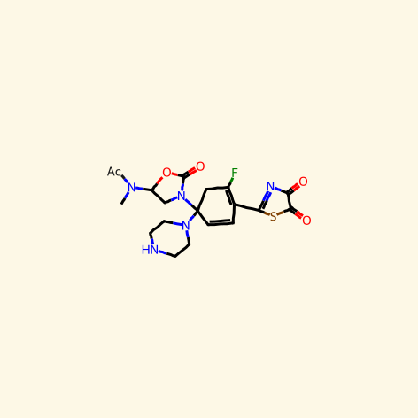 CC(=O)N(C)C1CN(C2(N3CCNCC3)C=CC(C3=NC(=O)C(=O)S3)=C(F)C2)C(=O)O1